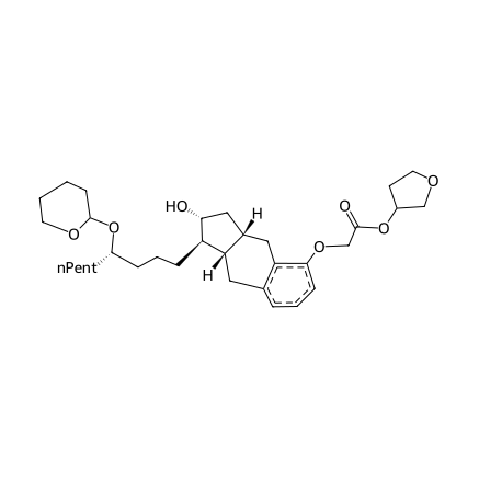 CCCCC[C@@H](CCC[C@@H]1[C@H]2Cc3cccc(OCC(=O)OC4CCOC4)c3C[C@H]2C[C@H]1O)OC1CCCCO1